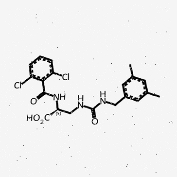 Cc1cc(C)cc(CNC(=O)NC[C@H](NC(=O)c2c(Cl)cccc2Cl)C(=O)O)c1